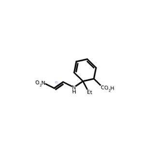 CCC1(N/C=C/[N+](=O)[O-])C=CC=CC1C(=O)O